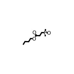 CCCCOC(=O)CCP(C)(C)=O